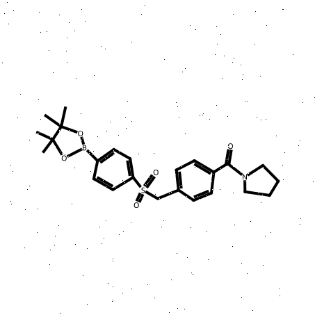 CC1(C)OB(c2ccc(S(=O)(=O)Cc3ccc(C(=O)N4CCCC4)cc3)cc2)OC1(C)C